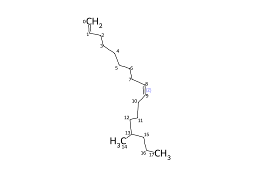 C=CCCCCCC/C=C\CCCC(C)CCC